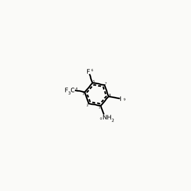 Nc1cc(C(F)(F)F)c(F)cc1I